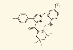 Cc1ccc(-c2cn(C)nc2C(=O)N2CC(F)(F)C[C@@H](C)[C@H]2CNc2cnc(C(F)(F)F)cn2)cc1